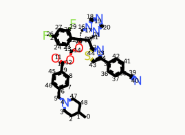 CC1CCN(Cc2ccc(C(=O)OCO[C@@](Cn3cncn3)(c3ccc(F)cc3F)[C@@H](C)c3nc(-c4ccc(C#N)cc4)cs3)cc2)CC1